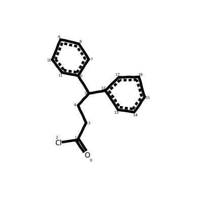 O=C(Cl)CCC(c1ccccc1)c1ccccc1